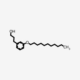 CCCCCCCCCCCOc1cccc(CCCO)c1